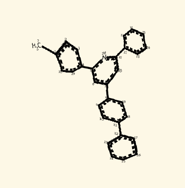 Cc1ccc(-c2cc(-c3ccc(-c4ccccc4)cc3)cc(-c3ccccc3)n2)cc1